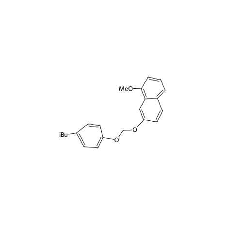 CCC(C)c1ccc(OCOc2ccc3cccc(OC)c3c2)cc1